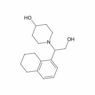 OCC(c1cccc2c1CCCC2)N1CCC(O)CC1